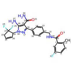 Cc1ccc(F)cc1C(=O)NCc1ccc(-c2nn(C3C=CCC3(F)F)c(N)c2C(N)=O)cc1